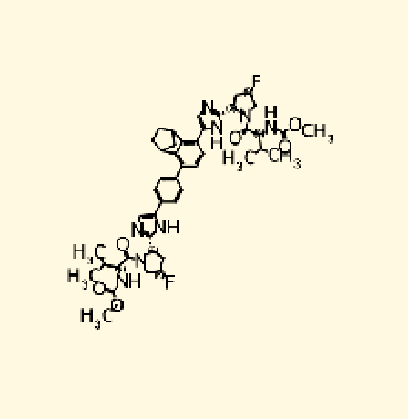 COC(=O)N[C@H](C(=O)N1C[C@H](F)C[C@H]1c1ncc(-c2ccc(-c3ccc(-c4cnc([C@@H]5C[C@@H](F)CN5C(=O)[C@@H](NC(=O)OC)C(C)C)[nH]4)c4c3C3CCC4C3)cc2)[nH]1)C(C)C